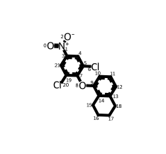 O=[N+]([O-])c1cc(Cl)c(Oc2cccc3c2CCCC3)c(Cl)c1